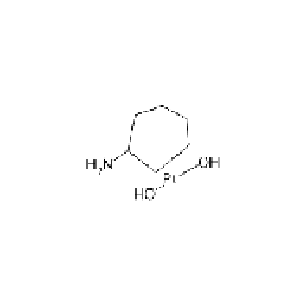 NC1CCCCC1.[OH][Pt][OH]